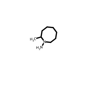 CC1CCCCCCN1N